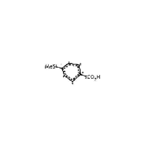 [CH2]Sc1ccc(C(=O)O)cc1